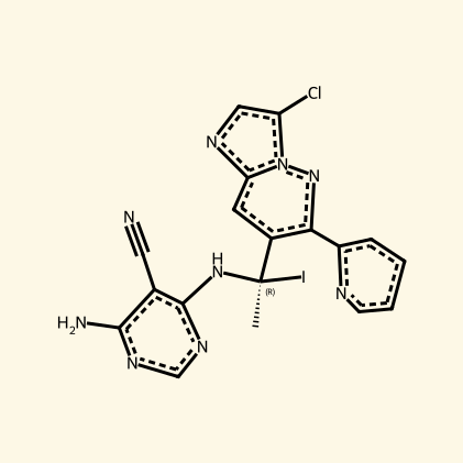 C[C@](I)(Nc1ncnc(N)c1C#N)c1cc2ncc(Cl)n2nc1-c1ccccn1